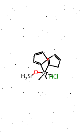 Cl.[CH3][Zr]([CH3])([CH3])([O][SiH3])([C]1=CC=CC1)[C]1=CC=CC1